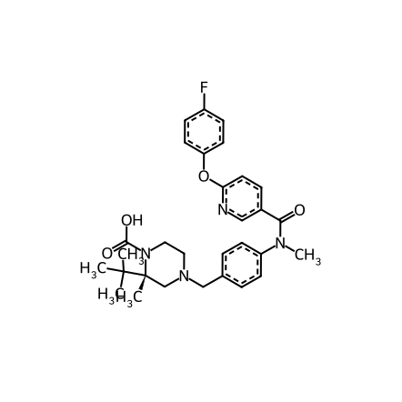 CN(C(=O)c1ccc(Oc2ccc(F)cc2)nc1)c1ccc(CN2CCN(C(=O)O)[C@@](C)(C(C)(C)C)C2)cc1